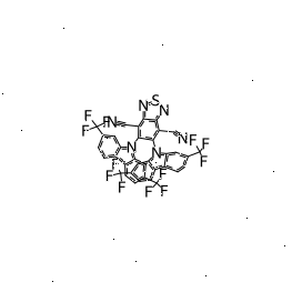 N#Cc1c(-n2c3cc(C(F)(F)F)ccc3c3ccc(C(F)(F)F)cc32)c(-n2c3cc(C(F)(F)F)ccc3c3ccc(C(F)(F)F)cc32)c(C#N)c2nsnc12